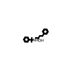 CC(C)(NC[C@H](O)CCc1ccccc1)c1ccccc1